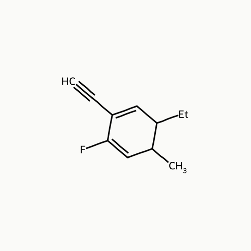 C#CC1=CC(CC)C(C)C=C1F